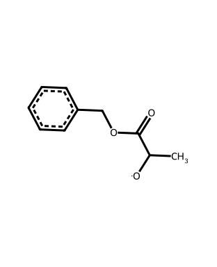 CC([O])C(=O)OCc1ccccc1